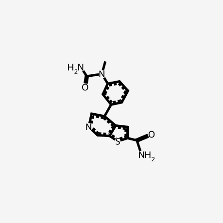 CN(C(N)=O)c1cccc(-c2cncc3sc(C(N)=O)cc23)c1